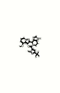 COc1cccn2nc(C3c4nc[nH]c4CCN3C(=O)c3cc(C(C)(C)C)nn3C)cc12